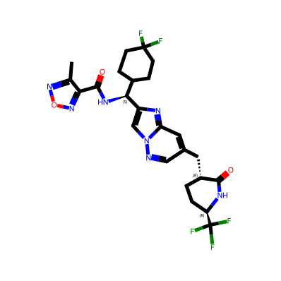 Cc1nonc1C(=O)N[C@H](c1cn2ncc(C[C@H]3CC[C@H](C(F)(F)F)NC3=O)cc2n1)C1CCC(F)(F)CC1